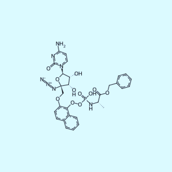 C[C@H](NP(=O)(O)OOc1c(OC[C@@]2(N=[N+]=[N-])O[C@@H](n3ccc(N)nc3=O)[C@H](O)[C@@H]2O)ccc2ccccc12)C(=O)OCc1ccccc1